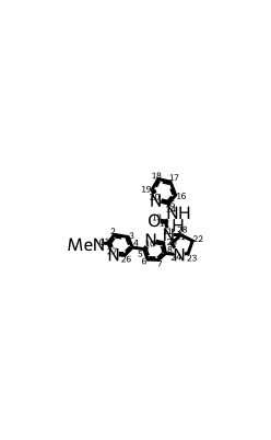 CNc1ccc(-c2ccc3c(n2)N(C(=O)Nc2ccccn2)[C@H]2CCN3C2)cn1